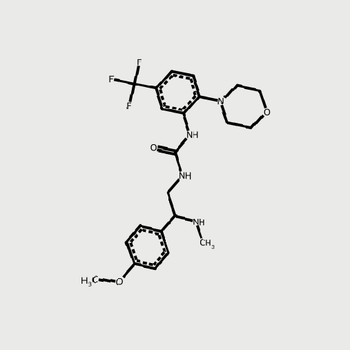 CNC(CNC(=O)Nc1cc(C(F)(F)F)ccc1N1CCOCC1)c1ccc(OC)cc1